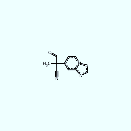 CC(C#N)(C=O)c1ccn2ccnc2c1